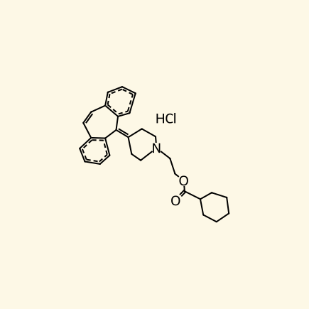 Cl.O=C(OCCN1CCC(=C2c3ccccc3C=Cc3ccccc32)CC1)C1CCCCC1